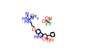 CN=C(NC#N)NCCCOc1ccc2c(CC(C(=O)O)c3ccccc3)c[nH]c2c1.O=C(O)C(F)(F)F